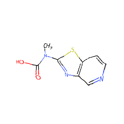 CN(C(=O)O)c1nc2cnccc2s1